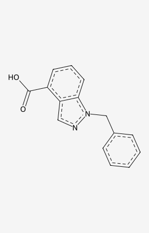 O=C(O)c1cccc2c1cnn2Cc1ccccc1